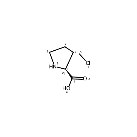 CCl.O=C(O)[C@@H]1CCCN1